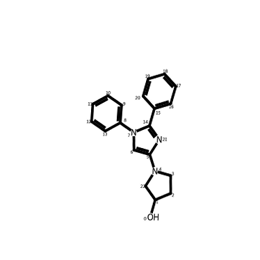 OC1CCN(c2cn(-c3ccccc3)c(-c3ccccc3)n2)C1